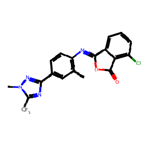 Cc1cc(-c2nc(C(F)(F)F)n(C)n2)ccc1/N=C1\OC(=O)c2c(Cl)cccc21